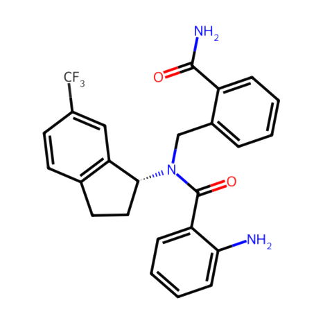 NC(=O)c1ccccc1CN(C(=O)c1ccccc1N)[C@@H]1CCc2ccc(C(F)(F)F)cc21